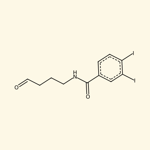 O=CCCCNC(=O)c1ccc(I)c(I)c1